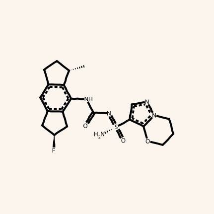 C[C@H]1CCc2cc3c(c(NC(=O)N=[S@](N)(=O)c4cnn5c4OCCC5)c21)C[C@@H](F)C3